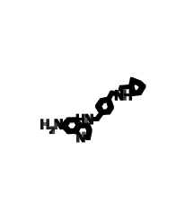 Nc1ccc2c(NCc3ccc(CNCc4ccccc4)cc3)ccnc2c1